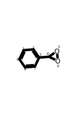 c1ccc(C2OO2)cc1